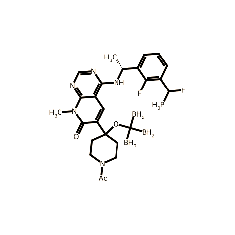 BC(B)(B)OC1(c2cc3c(N[C@H](C)c4cccc(C(F)P)c4F)ncnc3n(C)c2=O)CCN(C(C)=O)CC1